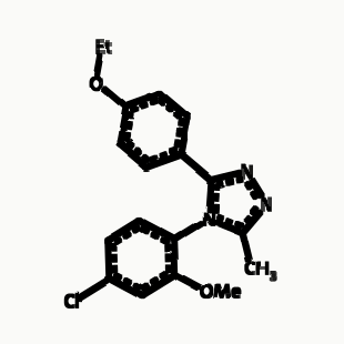 CCOc1ccc(-c2nnc(C)n2-c2ccc(Cl)cc2OC)cc1